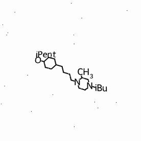 CCCC(C)OC1CCC(CCCCN2CCN(C(C)CC)CC2C)CC1